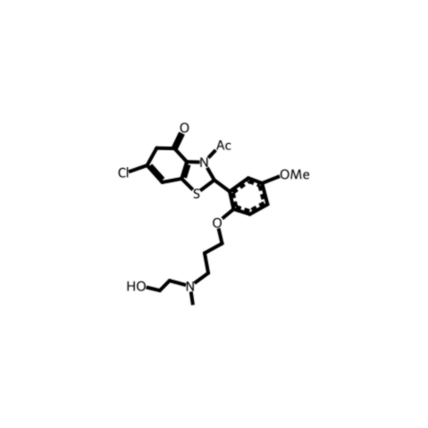 COc1ccc(OCCCN(C)CCO)c(C2SC3=C(C(=O)CC(Cl)=C3)N2C(C)=O)c1